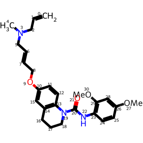 C=CCN(C)CC=CCOc1ccc2c(c1)CCCN2C(=O)Nc1ccc(OC)cc1OC